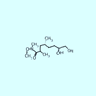 CON(C)C(=O)C(C)C[C@H](C)CCC(O)CO